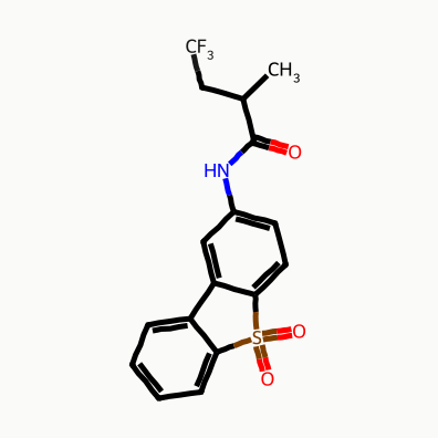 CC(CC(F)(F)F)C(=O)Nc1ccc2c(c1)-c1ccccc1S2(=O)=O